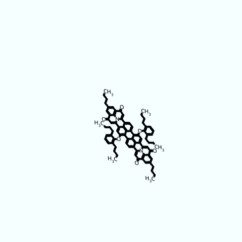 CCCCc1cc2c(=O)cc3c4ccc5c6c(Oc7c(CCCC)cccc7CCCC)cc7c8c(ccc(c9c(Oc%10c(CCCC)cccc%10CCCC)cc(c4c59)c4cc(=O)c(c1)c2n34)c68)c1cc(=O)c2cc(CCCC)cc3c(=O)cc7n1c23